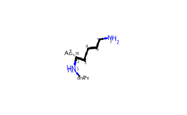 CCCN[C@@H](CCCCN)C(C)=O